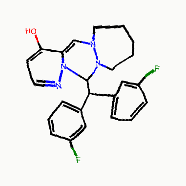 OC1=CC=NN2C1=CN1CCCCCN1C2C(c1cccc(F)c1)c1cccc(F)c1